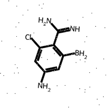 Bc1cc(N)cc(Cl)c1C(=N)N